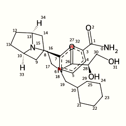 NC(=O)c1cccc([C@H]2C[C@H]3CC[C@@H](C2)N3CCN(CC2CCCCC2)C(=O)[C@H](O)CO)c1